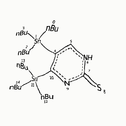 CCC[CH2][Sn]([CH2]CCC)([CH2]CCC)[c]1c[nH]c(=S)n[c]1[Sn]([CH2]CCC)([CH2]CCC)[CH2]CCC